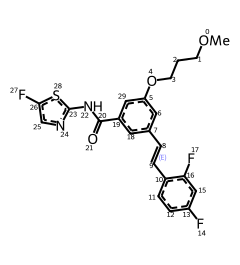 COCCCOc1cc(/C=C/c2ccc(F)cc2F)cc(C(=O)Nc2ncc(F)s2)c1